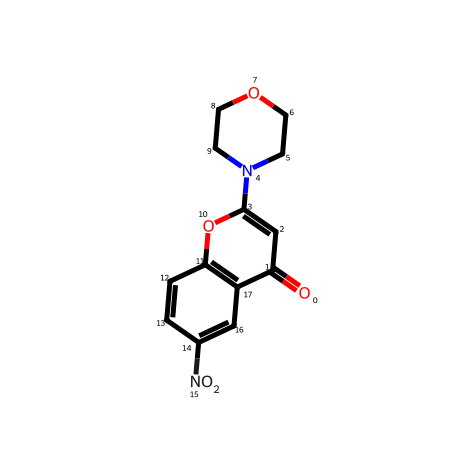 O=c1cc(N2CCOCC2)oc2ccc([N+](=O)[O-])cc12